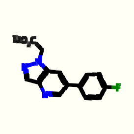 CCOC(=O)Cn1ncc2ncc(-c3ccc(F)cc3)cc21